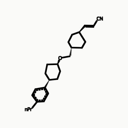 CCCc1ccc([C@H]2CC[C@H](OC[C@H]3CC[C@H](/C=C/C#N)CC3)CC2)cc1